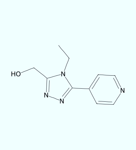 CCn1c(CO)nnc1-c1ccncc1